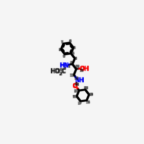 O=C(O)NC(Cc1ccccc1)[C@@H](O)CNOC1CCCCC1